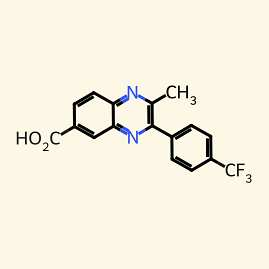 Cc1nc2ccc(C(=O)O)cc2nc1-c1ccc(C(F)(F)F)cc1